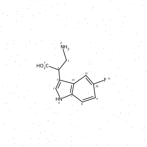 NCC(C(=O)O)c1c[nH]c2ccc(F)cc12